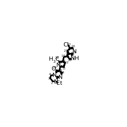 CCN1CCCn2c1ncc(-c1ccc(Cc3c[nH]c4ncc(Cl)cc34)c(C)n1)c2=O